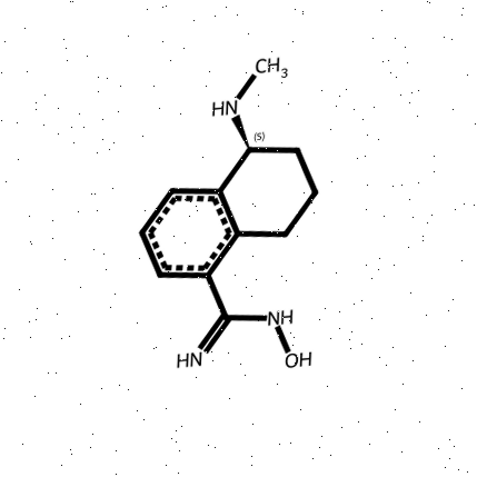 CN[C@H]1CCCc2c(C(=N)NO)cccc21